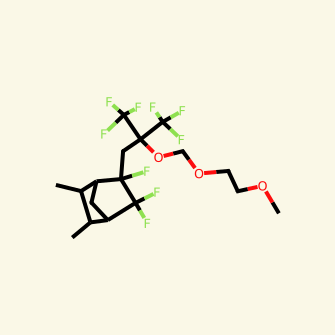 COCCOCOC(CC1(F)C2CC(C(C)C2C)C1(F)F)(C(F)(F)F)C(F)(F)F